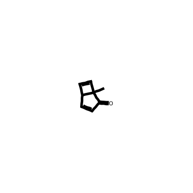 CC12C=CC1C=CC2=O